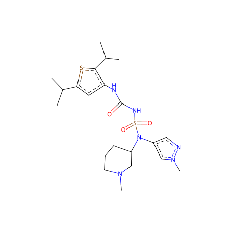 CC(C)c1cc(NC(=O)NS(=O)(=O)N(c2cnn(C)c2)C2CCCN(C)C2)c(C(C)C)s1